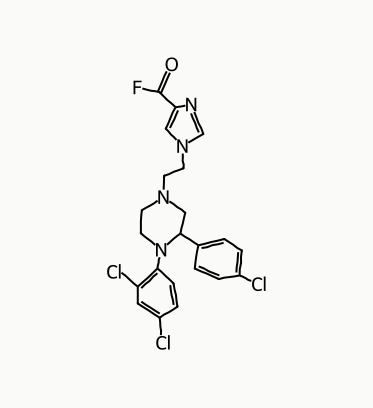 O=C(F)c1cn(CCN2CCN(c3ccc(Cl)cc3Cl)C(c3ccc(Cl)cc3)C2)cn1